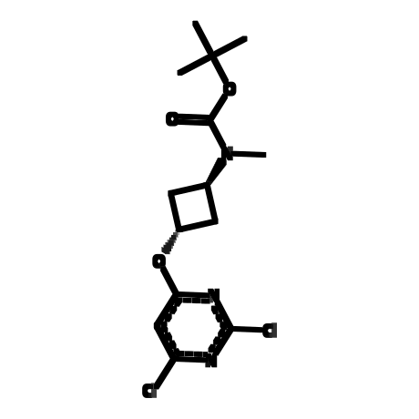 CN(C(=O)OC(C)(C)C)[C@H]1C[C@H](Oc2cc(Cl)nc(Cl)n2)C1